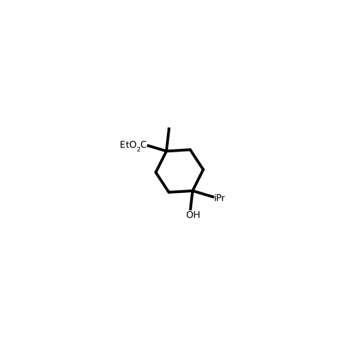 CCOC(=O)C1(C)CCC(O)(C(C)C)CC1